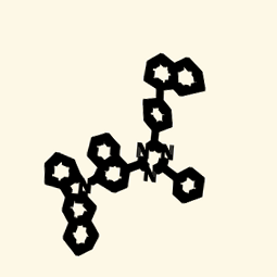 c1ccc(-c2nc(-c3ccc(-c4cccc5ccccc45)cc3)nc(-c3ccc(-n4c5ccccc5c5cc6ccccc6cc54)c4ccccc34)n2)cc1